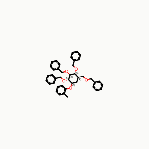 Cc1ccccc1O[C@@H]1C[C@H](COCc2ccccc2)[C@@H](OCc2ccccc2)[C@H](OCc2ccccc2)[C@H]1OCc1ccccc1